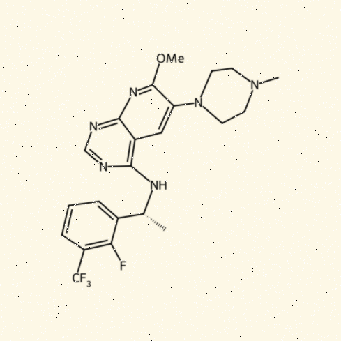 COc1nc2ncnc(N[C@H](C)c3cccc(C(F)(F)F)c3F)c2cc1N1CCN(C)CC1